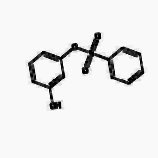 O=S(=O)(Oc1cccc(O)c1)c1ccccc1